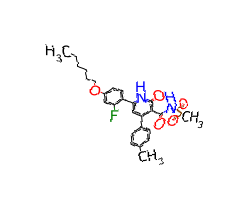 CCCCCCOc1ccc(-c2cc(-c3ccc(C)cc3)c(C(=O)NS(C)(=O)=O)c(=O)[nH]2)c(F)c1